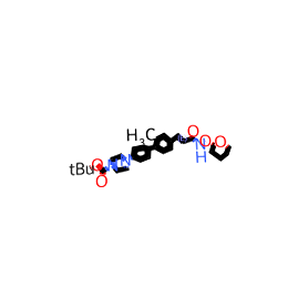 Cc1cc(/C=C/C(=O)NOC2CCCCO2)ccc1-c1ccc(N2CCN(C(=O)OC(C)(C)C)CC2)cc1